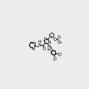 COC(=O)O[C@H]1CCCN1c1ncc(C(=O)NCc2ncccn2)c(NCc2ccc(OC)c(Cl)c2)n1